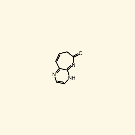 O=C1CC=CC2=NC=CNC2=N1